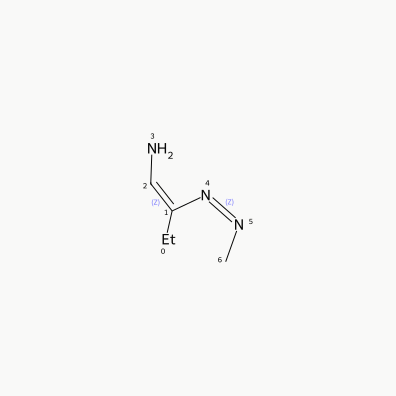 CCC(=C/N)/N=N\C